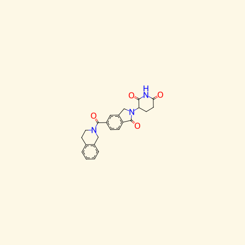 O=C1CCC(N2Cc3cc(C(=O)N4CCc5ccccc5C4)ccc3C2=O)C(=O)N1